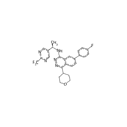 C[C@@H](Nc1nnc(C2CCOCC2)c2ccc(-c3ccc(F)cc3)cc12)c1cnc(C(F)(F)F)nc1